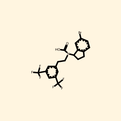 O=C(O)N(CCc1cc(C(F)(F)F)cc(C(F)(F)F)c1)C1CCc2ccc(Br)cc21